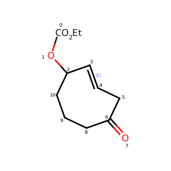 CCOC(=O)OC1/C=C/CC(=O)CCC1